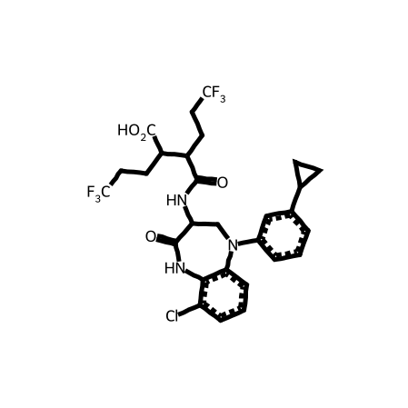 O=C1Nc2c(Cl)cccc2N(c2cccc(C3CC3)c2)CC1NC(=O)C(CCC(F)(F)F)C(CCC(F)(F)F)C(=O)O